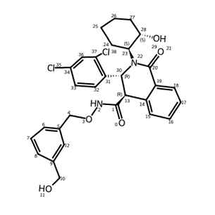 O=C(NOCc1cccc(CO)c1)[C@@H]1c2ccccc2C(=O)N([C@H]2CCCC[C@@H]2O)[C@H]1c1ccc(Cl)cc1Cl